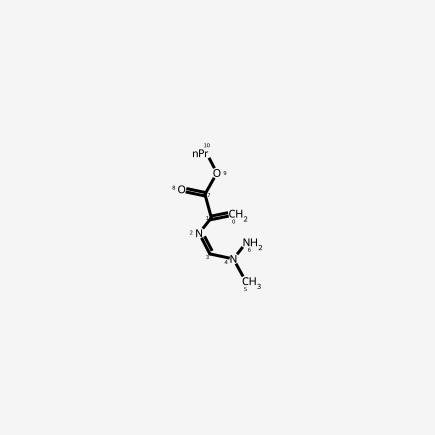 C=C(/N=C\N(C)N)C(=O)OCCC